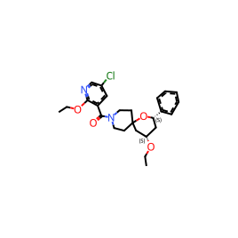 CCOc1ncc(Cl)cc1C(=O)N1CCC2(CC1)C[C@@H](OCC)C[C@@H](c1ccccc1)O2